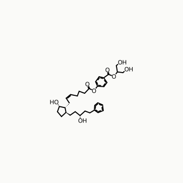 O=C(CCC/C=C\C[C@@H]1[C@@H](CC[C@@H](O)CCc2ccccc2)CC[C@@H]1O)Oc1ccc(C(=O)OC(CO)CO)cc1